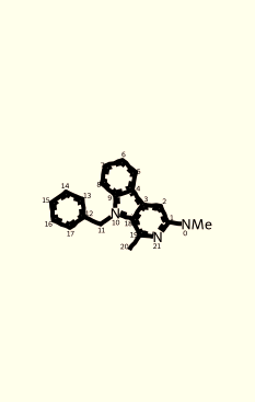 CNc1cc2c3ccccc3n(Cc3ccccc3)c2c(C)n1